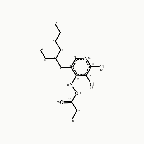 CCCCC(CC)Cc1cnc(Cl)c(Cl)c1SOC(=O)CC